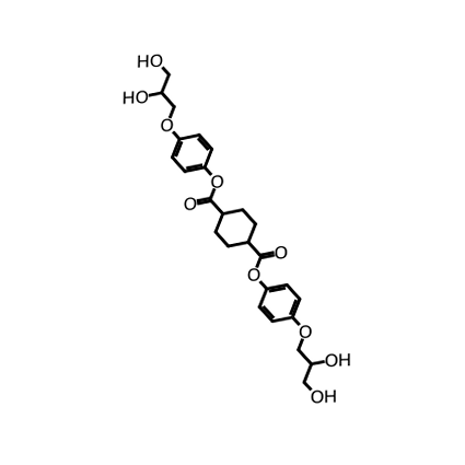 O=C(Oc1ccc(OCC(O)CO)cc1)C1CCC(C(=O)Oc2ccc(OCC(O)CO)cc2)CC1